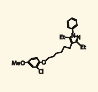 CCc1nn(-c2ccccc2)c(CC)c1CCCCCCOc1ccc(OC)cc1Cl